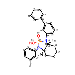 Cc1cccc(N2[C@@H]3CCCC[C@H]3N(c3cccc(-c4ccccc4)c3)P2(=O)O)c1